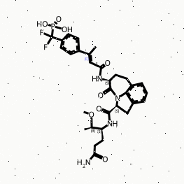 CO[C@H](C)[C@H](CCC(N)=O)NC(=O)[C@@H]1Cc2cccc3c2N1C(=O)[C@@H](NC(=O)/C=C(\C)c1ccc(C(F)(F)P(=O)(O)O)cc1)CC3